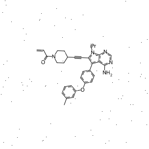 C=CC(=O)N1CCC(C#Cc2c(-c3ccc(Oc4cccc(C)c4)cc3)c3c(N)ncnc3n2C(C)C)CC1